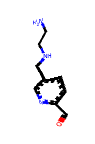 NCCNCc1ccc(C=O)nc1